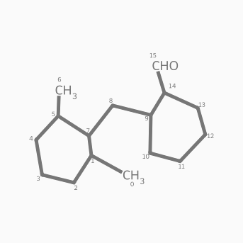 CC1CCCC(C)C1CC1CCCCC1C=O